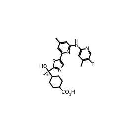 Cc1cc(Nc2cc(C)c(F)cn2)nc(-c2cnc([C@@](C)(O)C3CCC(C(=O)O)CC3)s2)c1